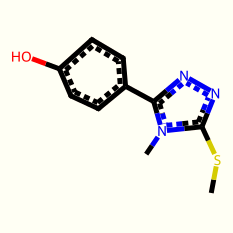 CSc1nnc(-c2ccc(O)cc2)n1C